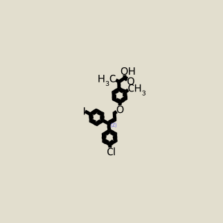 Cc1cc(OC/C=C(/c2ccc(Cl)cc2)c2ccc(I)cc2)ccc1C(C)C(=O)O